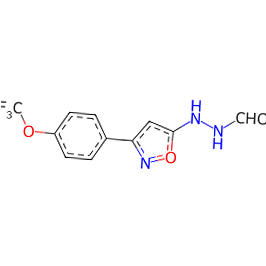 O=CNNc1cc(-c2ccc(OC(F)(F)F)cc2)no1